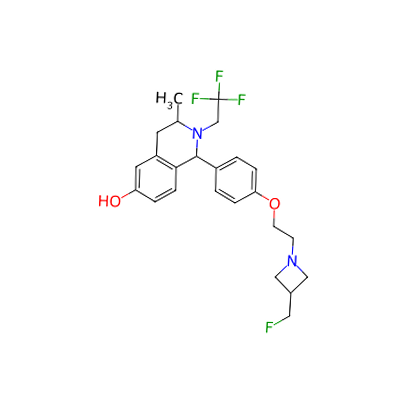 CC1Cc2cc(O)ccc2C(c2ccc(OCCN3CC(CF)C3)cc2)N1CC(F)(F)F